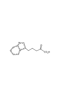 O=C(O)C(=O)CCCc1cnc2ccccn12